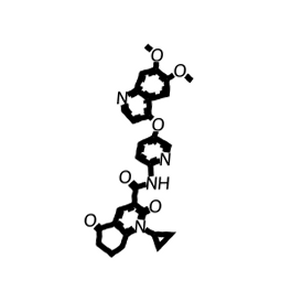 COc1cc2nccc(Oc3ccc(NC(=O)c4cc5c(n(C6CC6)c4=O)CCCC5=O)nc3)c2cc1OC